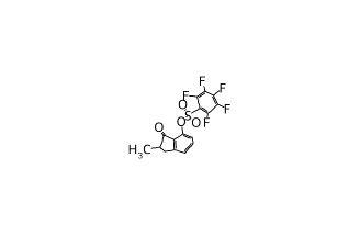 CC1Cc2cccc(OS(=O)(=O)c3c(F)c(F)c(F)c(F)c3F)c2C1=O